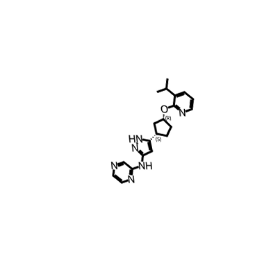 CC(C)c1cccnc1O[C@@H]1CC[C@H](c2cc(Nc3cnccn3)n[nH]2)C1